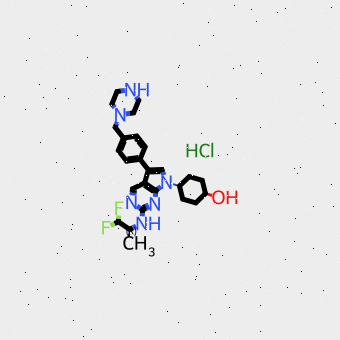 C[C@@H](Nc1ncc2c(-c3ccc(CN4CCNCC4)cc3)cn([C@H]3CC[C@H](O)CC3)c2n1)C(F)F.Cl